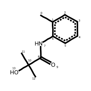 Cc1ccccc1NC(=O)C(C)(C)O